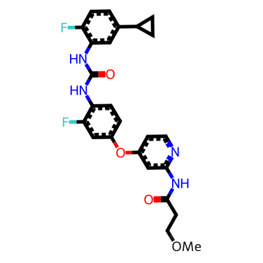 COCCC(=O)Nc1cc(Oc2ccc(NC(=O)Nc3cc(C4CC4)ccc3F)c(F)c2)ccn1